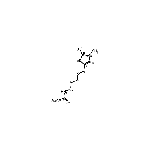 CNC(=O)NSCCSCc1nc(C)c(Br)s1